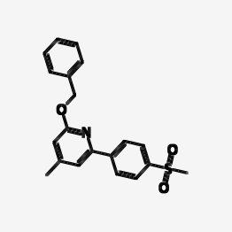 Cc1cc(OCc2ccccc2)nc(-c2ccc(S(C)(=O)=O)cc2)c1